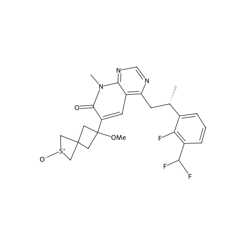 COC1(c2cc3c(C[C@H](C)c4cccc(C(F)F)c4F)ncnc3n(C)c2=O)CC2(C[S+]([O-])C2)C1